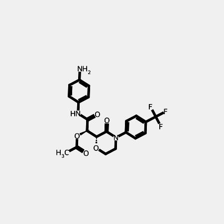 CC(=O)O[C@@H](C(=O)Nc1ccc(N)cc1)[C@H]1OCCN(c2ccc(C(F)(F)F)cc2)C1=O